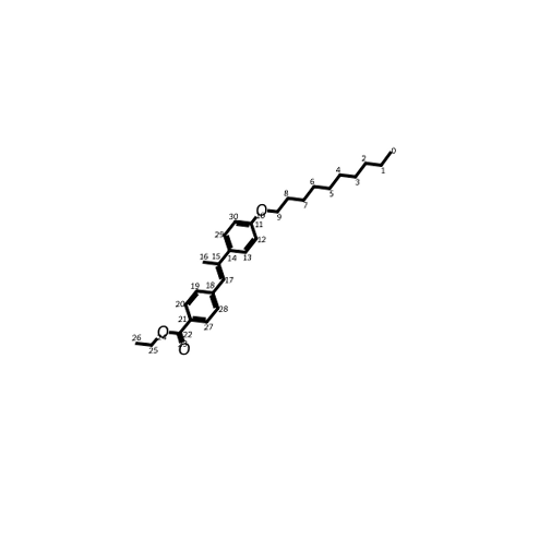 CCCCCCCCCCOc1ccc(C(C)=Cc2ccc(C(=O)OCC)cc2)cc1